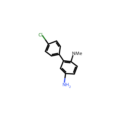 CNc1ccc(N)cc1-c1ccc(Cl)cc1